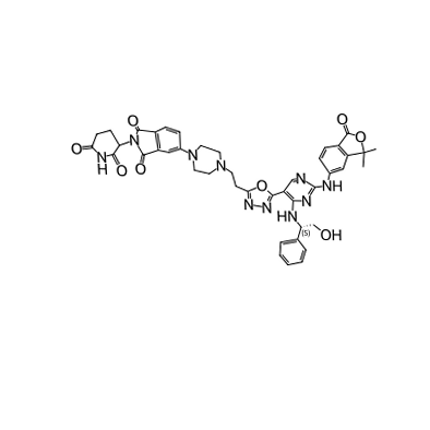 CC1(C)OC(=O)c2ccc(Nc3ncc(-c4nnc(CCN5CCN(c6ccc7c(c6)C(=O)N(C6CCC(=O)NC6=O)C7=O)CC5)o4)c(N[C@H](CO)c4ccccc4)n3)cc21